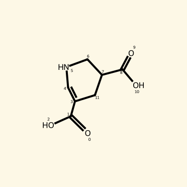 O=C(O)C1=CNCC(C(=O)O)C1